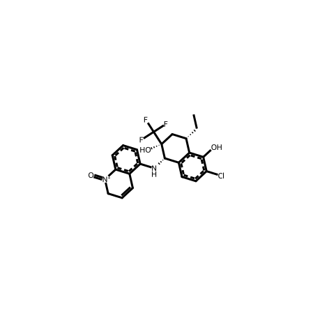 CC[C@H]1C[C@](O)(C(F)(F)F)[C@@H](Nc2cccc3c2C=CC[N+]3=O)c2ccc(Cl)c(O)c21